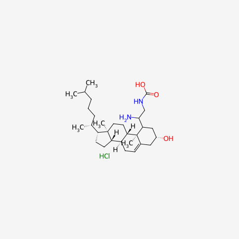 CC(C)CCC[C@@H](C)[C@H]1CC[C@H]2[C@@H]3CC=C4C[C@@H](O)CC(C(N)CNC(=O)O)[C@]4(C)[C@H]3CC[C@]12C.Cl